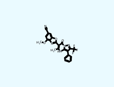 COc1cc(C#N)cc2oc(-c3c(C)[nH]c4c(-c5ccccc5)c(C(F)(F)F)nn4c3=O)nc12